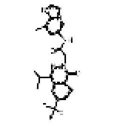 Cc1cc(NC(=O)Cn2nc(C(C)C)c3cc(C(F)(F)F)ccc3c2=O)cn2ccnc12